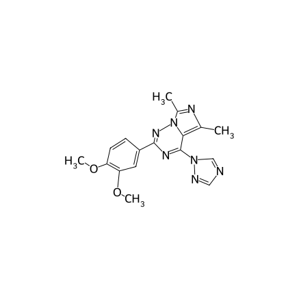 COc1ccc(-c2nc(-n3cncn3)c3c(C)nc(C)n3n2)cc1OC